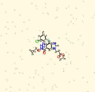 Cc1ccc(Nc2c(C(=O)NOCC3CC3)cc3c(ncn3CCC3OCCO3)c2F)c(Cl)c1